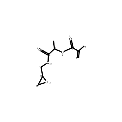 C=C(C)C(=O)OC(C)C(=O)OCC1CO1